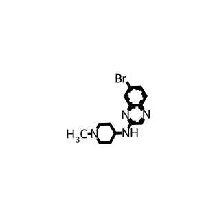 CN1CCC(Nc2cnc3ccc(Br)cc3n2)CC1